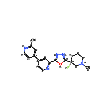 N#Cc1cc(-c2ccnc(-c3nnc([C@@]4(F)CCCN(C#N)C4)o3)c2)ccn1